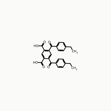 CCc1ccc(C(=O)c2cc(C(=O)c3ccc(CC)cc3)c(C(=O)O)cc2C(=O)O)cc1